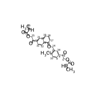 CPC(=O)OCC(=O)c1ccc(C)c(COc2cccc3cc(C(=O)COC(=O)PC)ccc23)c1